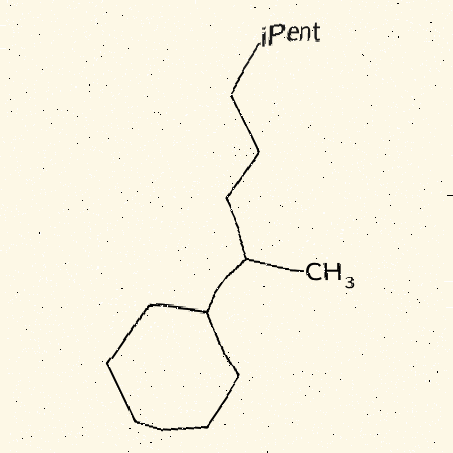 CCCC(C)CCCC(C)C1CCCCC1